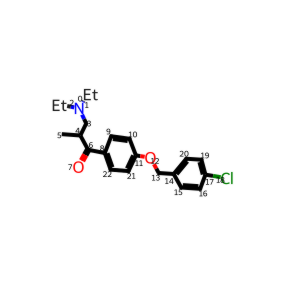 CCN(CC)CC(C)C(=O)c1ccc(OCc2ccc(Cl)cc2)cc1